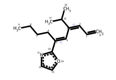 C=C/C=C(\C=C(/CCCC)c1ncco1)C(C)C